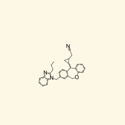 CCCc1nc2ccccc2n1Cc1ccc2c(c1)COc1ccccc1C2=C1CC1CC#N